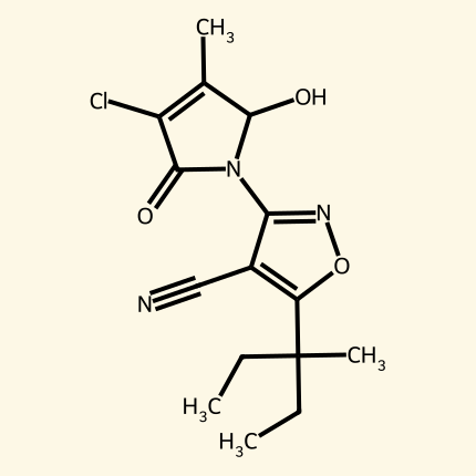 CCC(C)(CC)c1onc(N2C(=O)C(Cl)=C(C)C2O)c1C#N